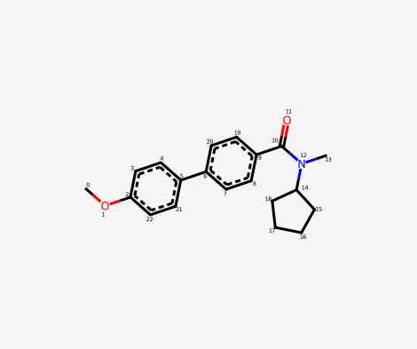 COc1ccc(-c2ccc(C(=O)N(C)C3CCCC3)cc2)cc1